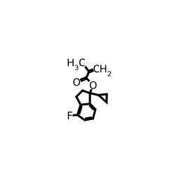 C=C(C)C(=O)OC1(C2CC2)CCc2c(F)cccc21